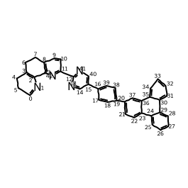 C1=NC2=C(CC1)CCc1ccc(-c3ncc(-c4ccc(-c5ccc6c7ccccc7c7ccccc7c6c5)cc4)cn3)nc12